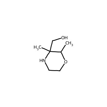 CC1OCCNC1(C)CO